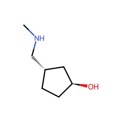 CNC[C@H]1CC[C@H](O)C1